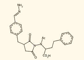 CC(=O)N(C(CCc1ccccc1)C(=O)O)N1C(=O)CC(Cc2ccc(C=NN)cc2)C1=O